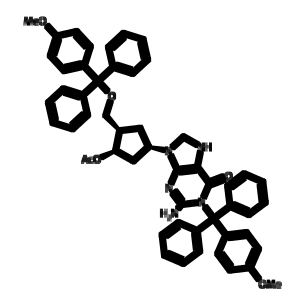 COc1ccc(C(OC[C@H]2C[C@@H](N3CNc4c3nc(N)n(C(c3ccccc3)(c3ccccc3)c3ccc(OC)cc3)c4=O)C[C@H]2OC(C)=O)(c2ccccc2)c2ccccc2)cc1